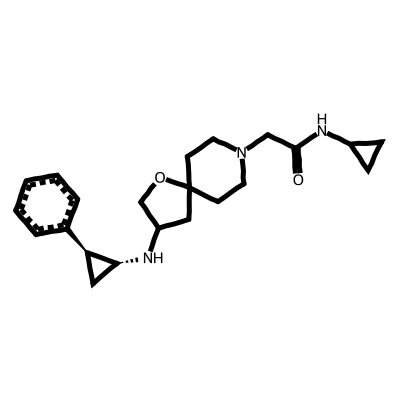 O=C(CN1CCC2(CC1)CC(N[C@@H]1C[C@H]1c1ccccc1)CO2)NC1CC1